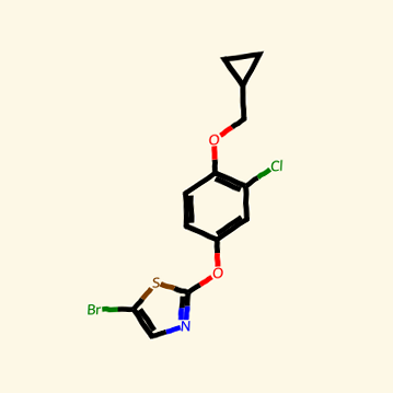 Clc1cc(Oc2ncc(Br)s2)ccc1OCC1CC1